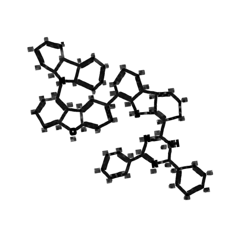 C1=CC2c3ccccc3N(c3cccc4oc5ccc(-c6cccc7c8c(sc67)=C(C6=NC(c7ccccc7)=NC(c7ccccc7)N6)CCC=8)cc5c34)C2C=C1